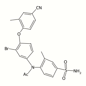 CC(=O)N(c1ccc(Oc2ccc(C#N)cc2C)c(Br)c1)c1ccc(S(N)(=O)=O)cc1C